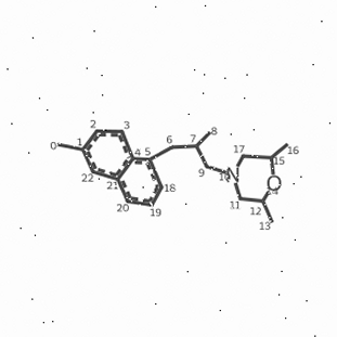 Cc1ccc2c(CC(C)CN3CC(C)OC(C)C3)cccc2c1